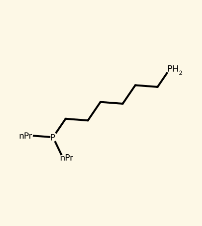 CCCP(CCC)CCCCCCP